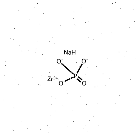 O=P([O-])([O-])[O-].[NaH].[Zr+3]